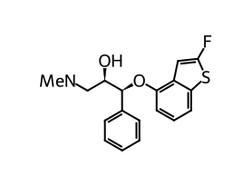 CNC[C@@H](O)[C@@H](Oc1cccc2sc(F)cc12)c1ccccc1